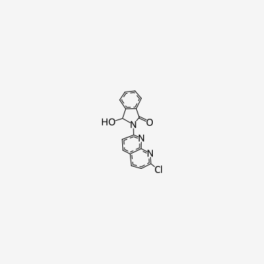 O=C1c2ccccc2C(O)N1c1ccc2ccc(Cl)nc2n1